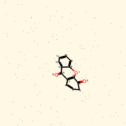 O=C1CC=Cc2c1oc1ccccc1c2=O